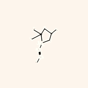 CN=N[SiH]1CC(C)CC1(C)C